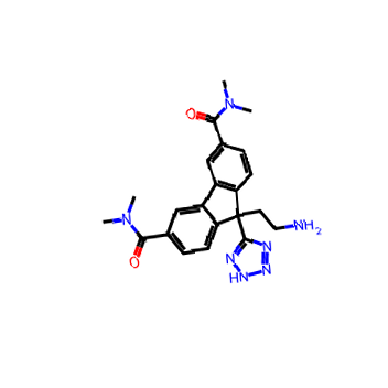 CN(C)C(=O)c1ccc2c(c1)-c1cc(C(=O)N(C)C)ccc1C2(CCN)c1nn[nH]n1